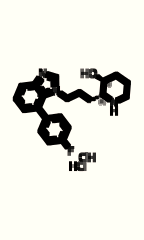 Cl.Cl.O[C@H]1CCCN[C@@H]1CCCn1cnc2cccc(-c3ccc(F)cc3)c21